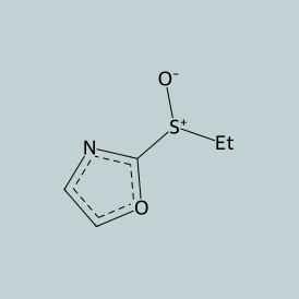 CC[S+]([O-])c1ncco1